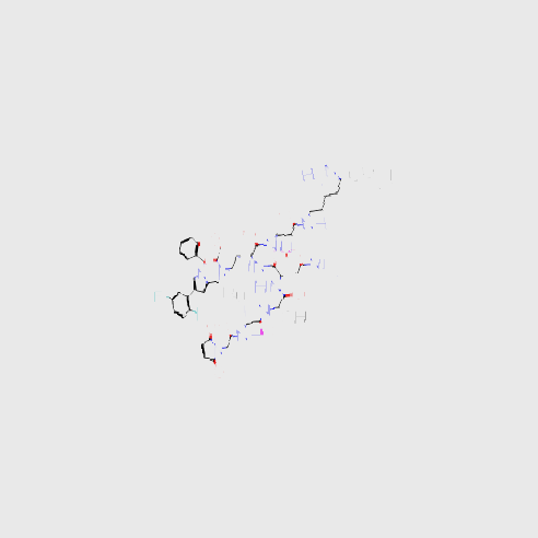 C[C@H](NC(=O)CNC(=O)CN1C(=O)C=CC1=O)C(=O)N[C@@H](CC(N)=O)C(=O)N[C@@H](CCN(C(=O)CO)[C@@H](c1cc(-c2cc(F)ccc2F)cn1Cc1ccccc1)C(C)(C)C)C(=O)NCCC(=O)NCCCC[C@H](N)C(=O)O